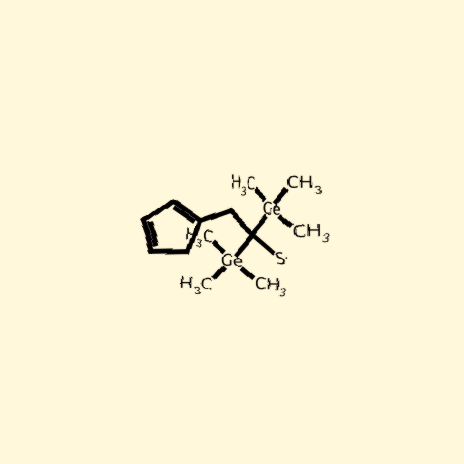 [CH3][Ge]([CH3])([CH3])[C]([S])(CC1=CC=CC1)[Ge]([CH3])([CH3])[CH3]